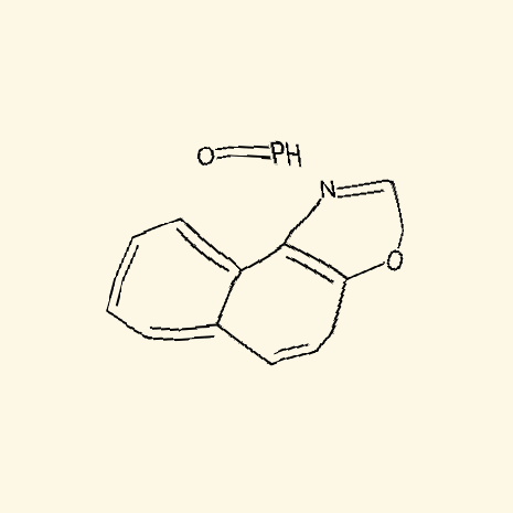 O=P.c1ccc2c(c1)ccc1ocnc12